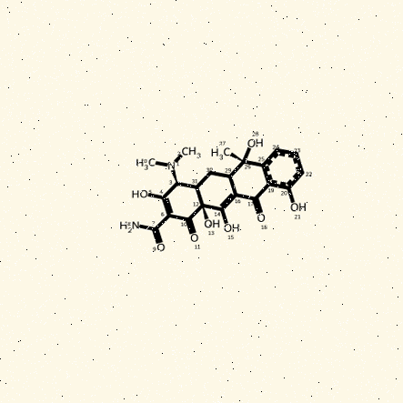 CN(C)[C@@H]1C(O)=C(C(N)=O)C(=O)[C@@]2(O)C(O)=C3C(=O)c4c(O)cccc4[C@@](C)(O)C3CC12